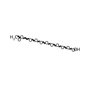 C=CC(=O)OCCCCOCCOCCOCCOCCOCCOCCOCCOCCOO